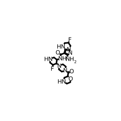 Nc1nn2c(c1C(=O)NC1CNCC(F)C1N1CCN(C(=O)C3CNCCO3)CC1)NCC(F)C2